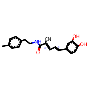 Cc1ccc(CCNC(=O)/C(C#N)=C/C=C/c2ccc(O)c(O)c2)cc1